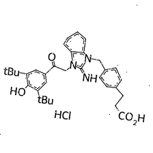 CC(C)(C)c1cc(C(=O)Cn2c(=N)n(Cc3ccc(CCC(=O)O)cc3)c3ccccc32)cc(C(C)(C)C)c1O.Cl